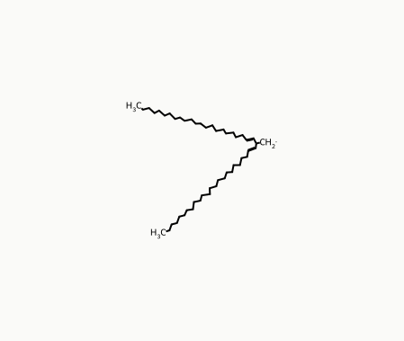 [CH2]C(C=CCCCCCCCCCCCCCCCCCCCCC)C=CCCCCCCCCCCCCCCCCCCCCCC